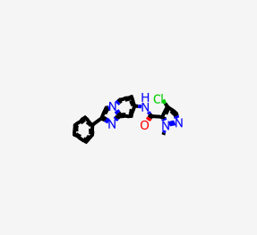 Cn1ncc(Cl)c1C(=O)Nc1ccn2cc(-c3ccccc3)nc2c1